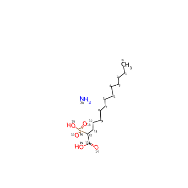 CCCCCCCCCCCCC(C(=O)O)S(=O)(=O)O.N